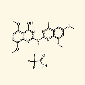 COc1cc(OC)c2nc(Nc3nc(O)c4c(OC)ccc(OC)c4n3)nc(C)c2c1.O=C(O)C(F)(F)F